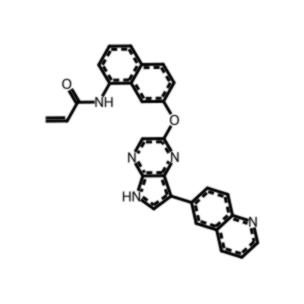 C=CC(=O)Nc1cccc2ccc(Oc3cnc4[nH]cc(-c5ccc6ncccc6c5)c4n3)cc12